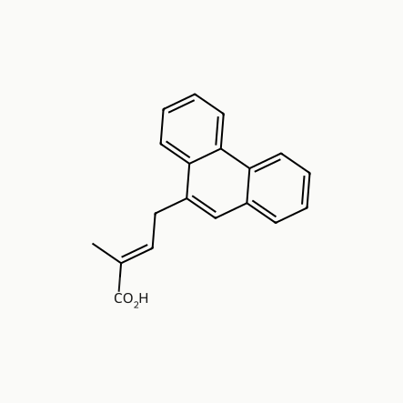 CC(=CCc1cc2ccccc2c2ccccc12)C(=O)O